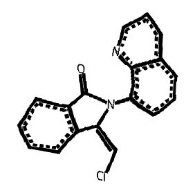 O=C1c2ccccc2C(=CCl)N1c1cccc2cccnc12